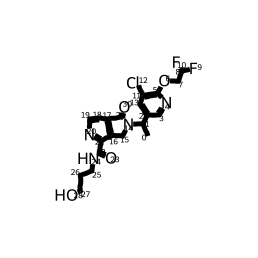 CC(c1cnc(OCC(F)F)c(Cl)c1)N1Cc2c(ccnc2C(=O)NCCCO)C1=O